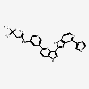 CC(C)(C)CC(=O)Nc1cncc(-c2ccc3[nH]nc(-c4nc5c(-c6ccoc6)nccc5[nH]4)c3n2)c1